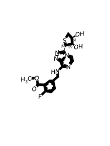 COC(=O)c1cc(CNc2nccn3c([C@@H]4SC[C@@H](O)[C@H]4O)nnc23)ccc1F